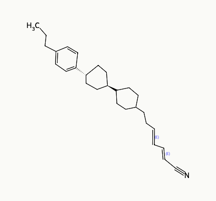 CCCc1ccc([C@H]2CC[C@H](C3CCC(CC/C=C/C=C/C#N)CC3)CC2)cc1